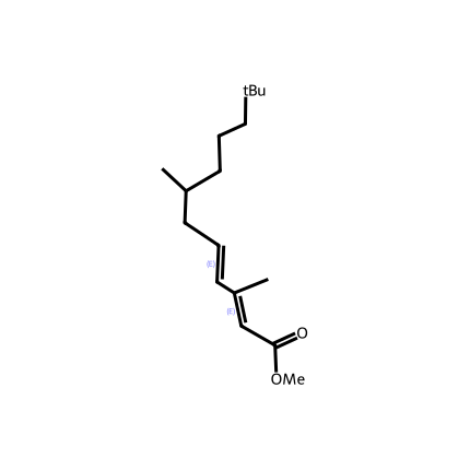 COC(=O)/C=C(C)/C=C/CC(C)CCCC(C)(C)C